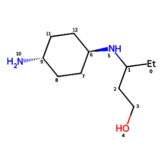 CCC(CCO)N[C@H]1CC[C@H](N)CC1